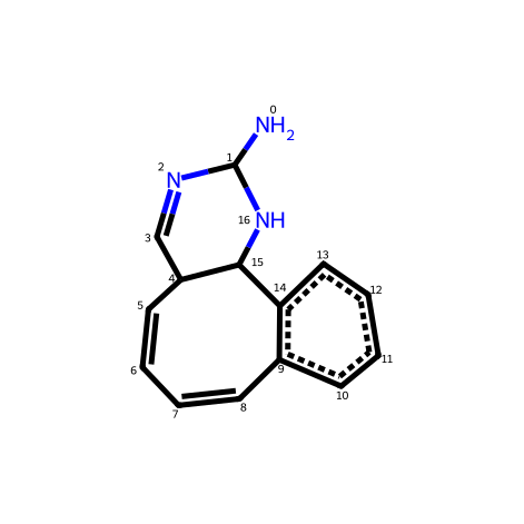 NC1N=CC2/C=C\C=C/c3ccccc3C2N1